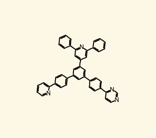 c1ccc(-c2cc(-c3cc(-c4ccc(-c5ccccn5)cc4)cc(-c4ccc(-c5ccncn5)cc4)c3)cc(-c3ccccc3)n2)cc1